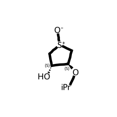 CC(C)O[C@@H]1C[S+]([O-])C[C@H]1O